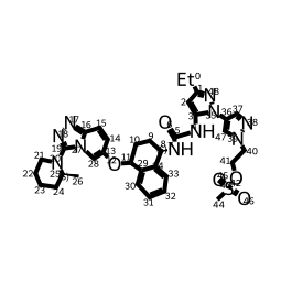 CCc1cc(NC(=O)N[C@H]2CCC(Oc3ccc4nnc(N5CCCC[C@@H]5C)n4c3)c3ccccc32)n(-c2cnn(CCOS(C)(=O)=O)c2)n1